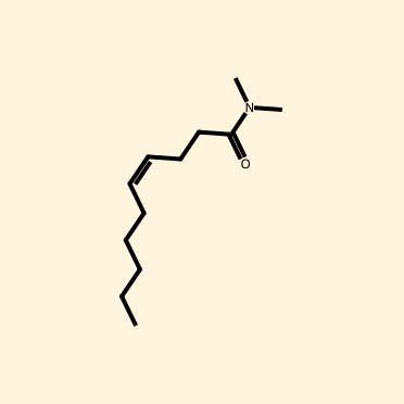 CCCCC/C=C\CCC(=O)N(C)C